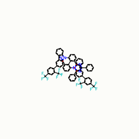 N#Cc1cccc(-n2c3ccccc3c3cc(-c4ccc(C(F)(F)F)cc4C(F)(F)F)ccc32)c1-c1c(-c2nc(-c3ccccc3)nc(-c3ccccc3)n2)cccc1-n1c2ccccc2c2cc(-c3ccc(C(F)(F)F)cc3C(F)(F)F)ccc21